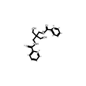 O=C(NCC(CO)(CO)CNC(=O)c1ccccn1)c1ccccn1